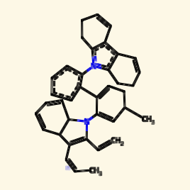 C=CC1=C(/C=C\C)C2C=CC=CC2N1C1=CC(C)CC=C1c1ccccc1-n1c2c(c3c1CCC=C3)C=CCC2